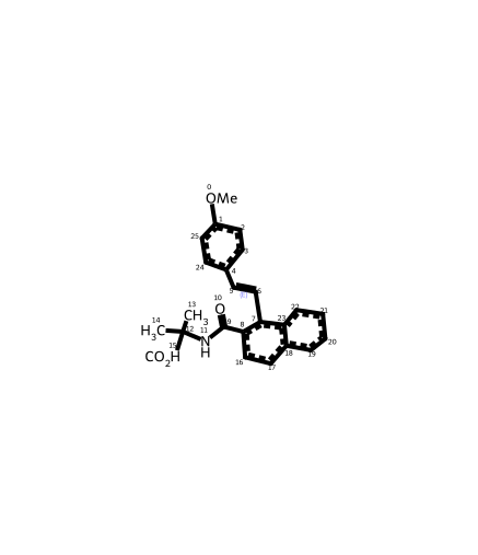 COc1ccc(/C=C/c2c(C(=O)NC(C)(C)C(=O)O)ccc3ccccc23)cc1